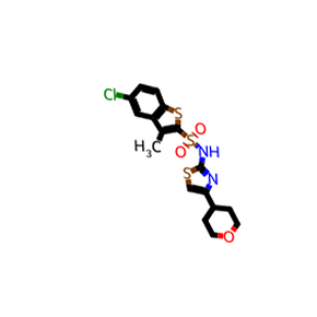 Cc1c(S(=O)(=O)Nc2nc(C3CCOCC3)cs2)sc2ccc(Cl)cc12